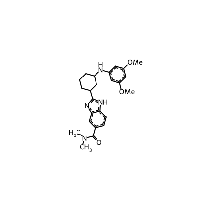 COc1cc(NC2CCCC(c3nc4cc(C(=O)N(C)C)ccc4[nH]3)C2)cc(OC)c1